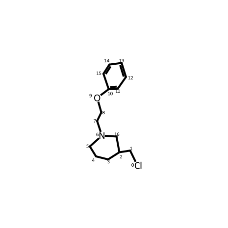 ClCC1CCCN(CCOc2ccccc2)C1